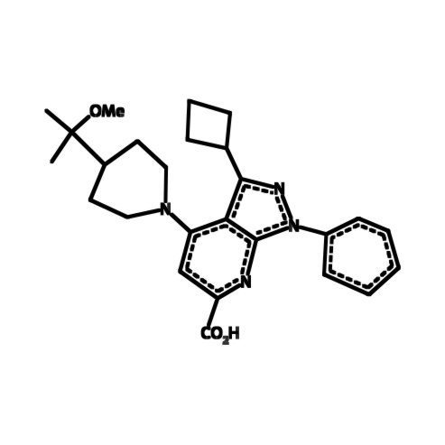 COC(C)(C)C1CCN(c2cc(C(=O)O)nc3c2c(C2CCC2)nn3-c2ccccc2)CC1